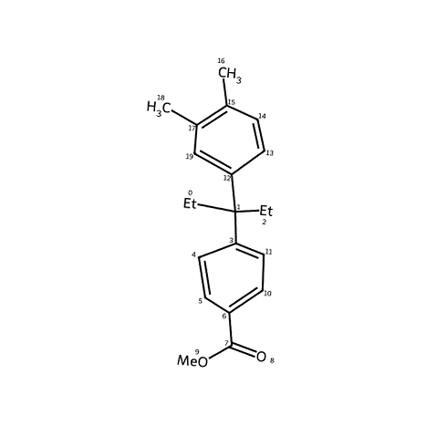 CCC(CC)(c1ccc(C(=O)OC)cc1)c1ccc(C)c(C)c1